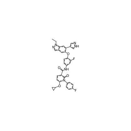 CCn1ncc2cc(Oc3ccc(NC(=O)c4ccc(OC5CC5)n(-c5ccc(F)cc5)c4=O)cc3F)c(-c3cn[nH]c3)cc21